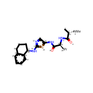 CN[C@@H](C)C(=O)N[C@H](C(=O)Nc1cnc(N[C@@H]2CCCc3ccccc32)s1)C(C)C